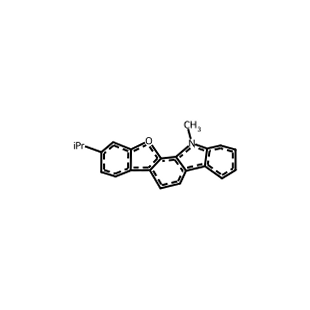 CC(C)c1ccc2c(c1)oc1c2ccc2c3ccccc3n(C)c21